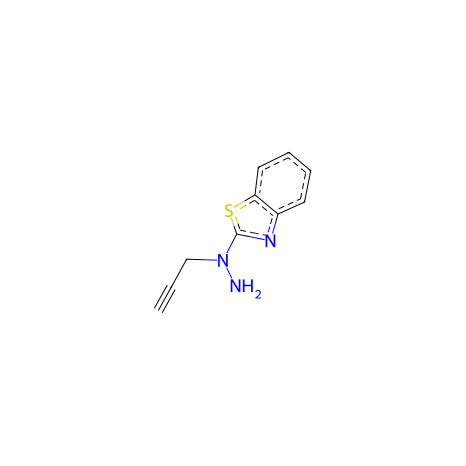 C#CCN(N)c1nc2ccccc2s1